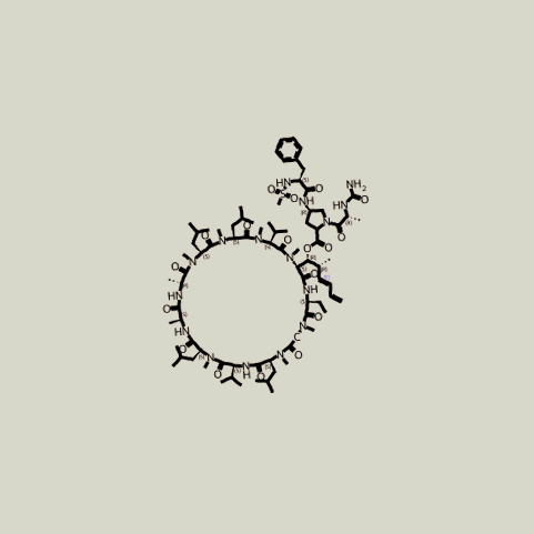 C=C/C=C/[C@@H](C)[C@@H](OC(=O)C1C[C@@H](NC(=O)[C@H](Cc2ccccc2)NS(C)(=O)=O)CN1C(=O)[C@@H](C)NC(N)=O)[C@H]1C(=O)N[C@@H](CC)C(=O)N(C)CC(=O)N(C)[C@@H](CC(C)C)C(=O)N[C@@H](C(C)C)C(=O)N(C)[C@@H](CC(C)C)C(=O)N[C@@H](C)C(=O)N[C@H](C)C(=O)N(C)[C@@H](CC(C)C)C(=O)N(C)[C@@H](CC(C)C)C(=O)N(C)[C@@H](C(C)C)C(=O)N1C